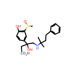 C[S+]([O-])c1cc(C(O)(CNC(C)(C)CCc2ccccc2)CC(=O)O)ccc1O